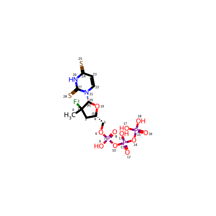 CC1(F)C[C@@H](COP(=O)(O)OP(=O)(O)OP(=O)(O)O)O[C@H]1n1ccc(=S)[nH]c1=S